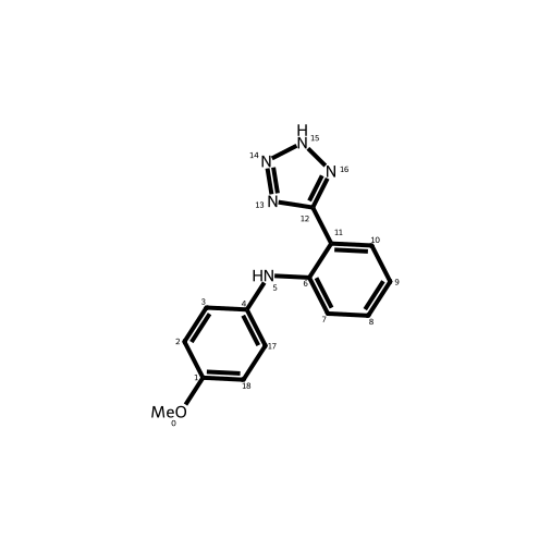 COc1ccc(Nc2ccccc2-c2nn[nH]n2)cc1